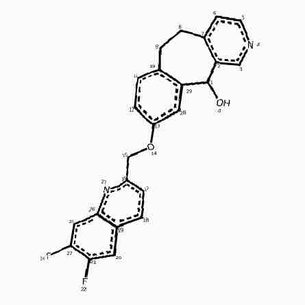 OC1c2cnccc2CCc2ccc(OCc3ccc4cc(F)c(F)cc4n3)cc21